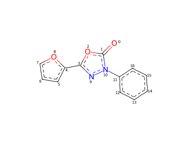 O=c1oc(-c2ccco2)nn1-c1ccccc1